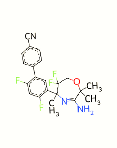 CC1(C)OCC(F)(F)C(C)(c2cc(-c3ccc(C#N)cc3)c(F)cc2F)N=C1N